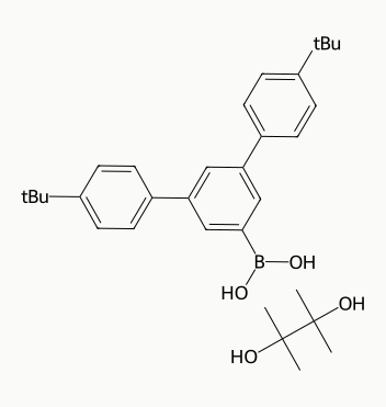 CC(C)(C)c1ccc(-c2cc(B(O)O)cc(-c3ccc(C(C)(C)C)cc3)c2)cc1.CC(C)(O)C(C)(C)O